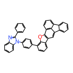 c1ccc(-c2nc3ccccc3n2-c2ccc(-c3cccc4c3oc3c5cccc6c5c(cc43)-c3ccccc3-6)cc2)cc1